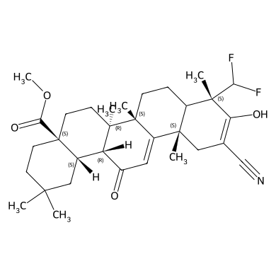 COC(=O)[C@]12CCC(C)(C)C[C@H]1[C@H]1C(=O)C=C3[C@@]4(C)CC(C#N)=C(O)[C@@](C)(C(F)F)C4CC[C@@]3(C)[C@]1(C)CC2